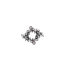 CC(C)C[C@@H](C(=O)N[C@H]1COC(=O)[C@H](Cc2ccccc2)N(C)C(=O)[C@H](CC(C)C)N(C)C(=O)[C@@H](NC(=O)[C@H](CC(C)C)N(C)C)COC(=O)[C@H](Cc2ccccc2)N(C)C(=O)[C@H](CC(C)C)N(C)C1=O)N(C)C